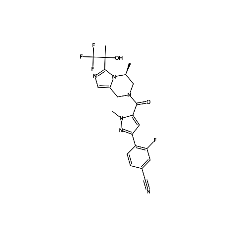 C[C@H]1CN(C(=O)c2cc(-c3ccc(C#N)cc3F)nn2C)Cc2cnc(C(C)(O)C(F)(F)F)n21